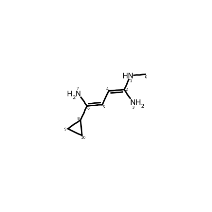 CN/C(N)=C/C=C(\N)C1CC1